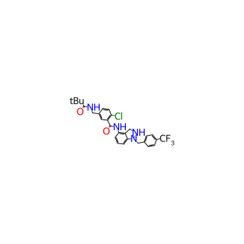 CC(C)(C)C(=O)NCc1ccc(Cl)c(C(=O)Nc2cccc3c2CNN3Cc2ccc(C(F)(F)F)cc2)c1